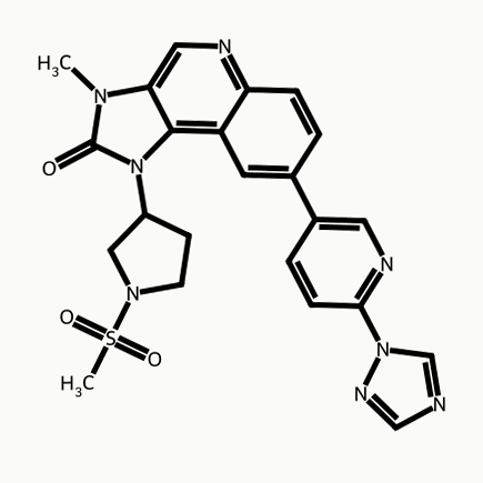 Cn1c(=O)n(C2CCN(S(C)(=O)=O)C2)c2c3cc(-c4ccc(-n5cncn5)nc4)ccc3ncc21